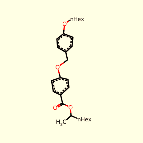 CCCCCCOc1ccc(COc2ccc(C(=O)OC(C)CCCCCC)cc2)cc1